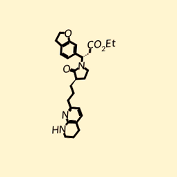 CCOC(=O)C[C@@H](c1ccc2c(c1)OCC2)N1CC[C@@H](CCCc2ccc3c(n2)NCCC3)C1=O